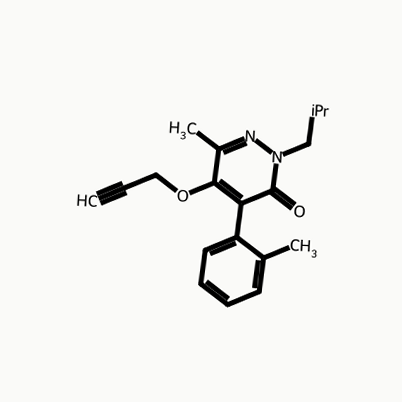 C#CCOc1c(C)nn(CC(C)C)c(=O)c1-c1ccccc1C